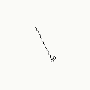 CCCCCCCCCC=CC=CC=CC=CC=CC([O])=O